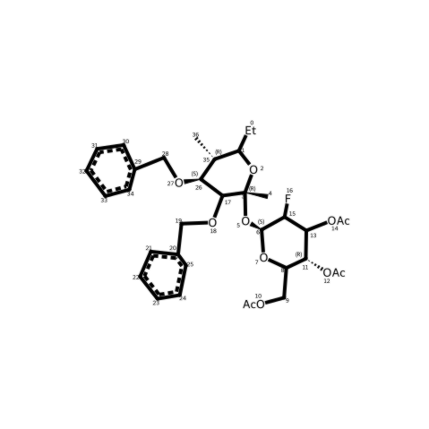 CCC1O[C@](C)(O[C@@H]2OC(COC(C)=O)[C@@H](OC(C)=O)C(OC(C)=O)C2F)C(OCc2ccccc2)[C@@H](OCc2ccccc2)[C@@H]1C